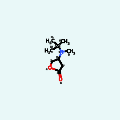 CN(C1COC(=O)C1)[Si](C)(C)C